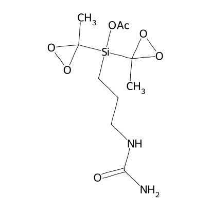 CC(=O)O[Si](CCCNC(N)=O)(C1(C)OO1)C1(C)OO1